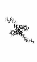 CCCCCCC[CH2][Sn]([CH2]CCCCCCC)([O]C(C)c1ccccc1)[O]C(C)c1ccccc1